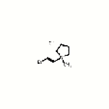 CCC=C[N+]1(C)CCCC1.[Cl-]